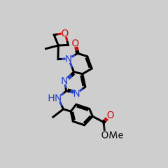 COC(=O)c1ccc(C(C)Nc2ncc3ccc(=O)n(CC4(C)COC4)c3n2)cc1